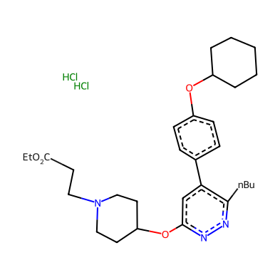 CCCCc1nnc(OC2CCN(CCC(=O)OCC)CC2)cc1-c1ccc(OC2CCCCC2)cc1.Cl.Cl